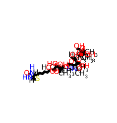 CC(=O)NC1C(C)(CO)C(OC[C@]2(C)OC3(CO)OC(C)([C@@]3(C)O)[C@@]2(C)O)C(C)(CO)O[C@]1(C)COC[C@]1(C)C2(C)O[C@](C)(OC(=O)CCCCC3SC[C@@H]4NC(=O)N[C@H]34)C(O)[C@@]21O